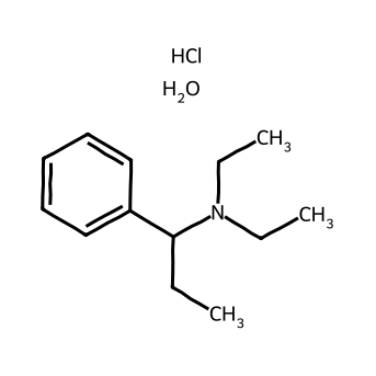 CCC(c1ccccc1)N(CC)CC.Cl.O